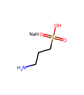 NCCCS(=O)(=O)O.[NaH]